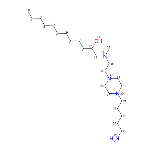 CCCCCCCCCCC(O)CN(C)CCN1CCN(CCCCCN)CC1